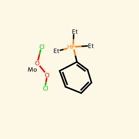 CC[PH](CC)(CC)c1ccccc1.ClOOCl.[Mo]